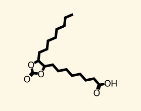 CCCCCCCCC1OC(=O)OC1CCCCCCCC(=O)O